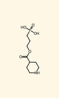 O=C(OCCCP(=O)(O)O)C1CCNCC1